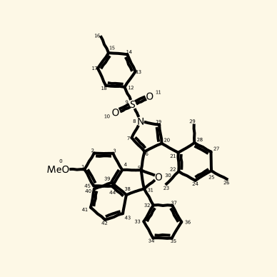 COc1ccc(C2(c3cn(S(=O)(=O)c4ccc(C)cc4)cc3-c3c(C)cc(C)cc3C)OC2(c2ccccc2)c2ccccc2)cc1